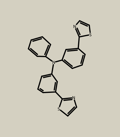 c1ccc(N(c2cccc(-c3nccs3)c2)c2cccc(-c3nccs3)c2)cc1